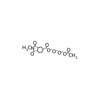 CC(=O)OCOCOCOC(=O)c1ccc2c(c1)C(=O)N(C)C2=O